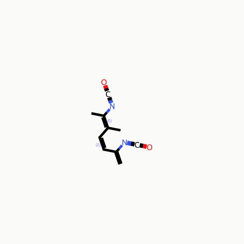 C=C(/C=C\C(C)=C(/C)N=C=O)N=C=O